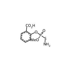 COP(=O)(Oc1ccccc1C(=O)O)SN